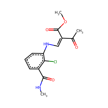 CNC(=O)c1cccc(NC=C(C(C)=O)C(=O)OC)c1Cl